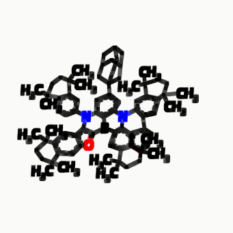 CC1(C)CCC(C)(C)c2cc(N3c4cc(C56CC7CC(CC(C7)C5)C6)cc5c4B(c4cc6c(cc4N5c4cc5c(cc4-c4ccccc4)C(C)(C)CCC5(C)C)C(C)(C)CCC6(C)C)c4oc5cc6c(cc5c43)C(C)(C)CCC6(C)C)ccc21